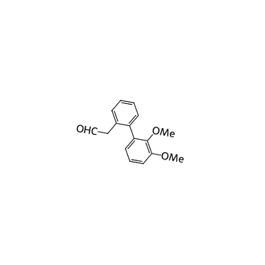 COc1cccc(-c2ccccc2CC=O)c1OC